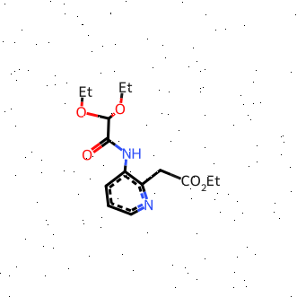 CCOC(=O)Cc1ncccc1NC(=O)C(OCC)OCC